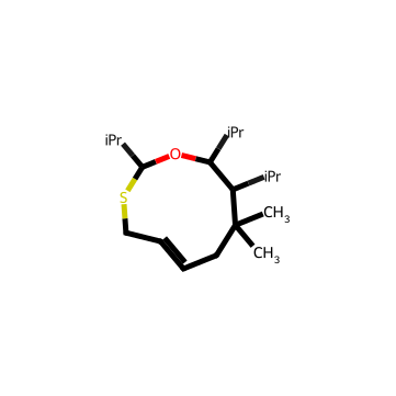 CC(C)C1OC(C(C)C)C(C(C)C)C(C)(C)C/C=C/CS1